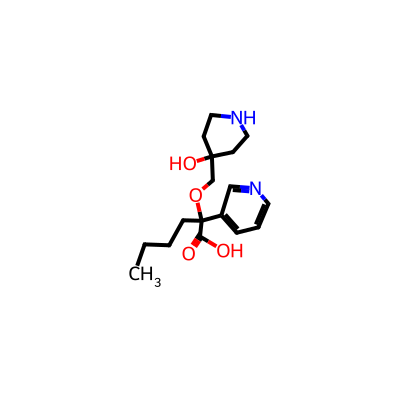 CCCCC(OCC1(O)CCNCC1)(C(=O)O)c1cccnc1